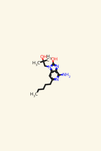 CCCCCc1cc2c(nc(O)n2CC(C)(C)O)c(N)n1